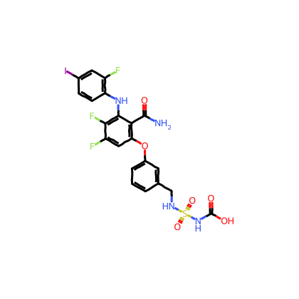 NC(=O)c1c(Oc2cccc(CNS(=O)(=O)NC(=O)O)c2)cc(F)c(F)c1Nc1ccc(I)cc1F